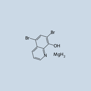 Oc1c(Br)cc(Br)c2cccnc12.[MgH2]